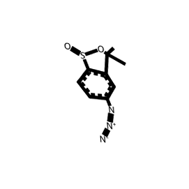 CC1(C)OS(=O)c2ccc(N=[N+]=[N-])cc21